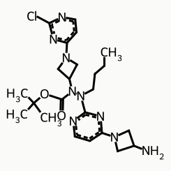 CCCCN(c1nccc(N2CC(N)C2)n1)N(C(=O)OC(C)(C)C)C1CN(c2ccnc(Cl)n2)C1